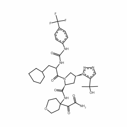 CC(C)(O)c1cnnn1[C@H]1C[C@@H](C(=O)NC2(C(=O)C(N)=O)CCOCC2)N(C(=O)C(CC2CCCCC2)NC(=O)Nc2ccc(C(F)(F)F)cc2)C1